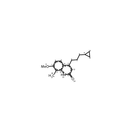 COc1ccc2c(CCCC3CC3)cc(=O)[nH]c2c1C